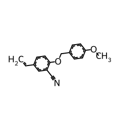 C=Cc1ccc(OCc2ccc(OC)cc2)c(C#N)c1